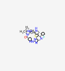 CC1(C)CN(C(=O)c2ccc(Nc3ncc4c(n3)-c3sc5c(c3C(c3ccccc3F)=NC4)CCNC5)cc2)CC(C)(C)N1